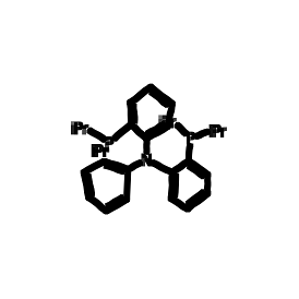 CC(C)P(c1ccccc1N(c1ccccc1)c1ccccc1P(C(C)C)C(C)C)C(C)C